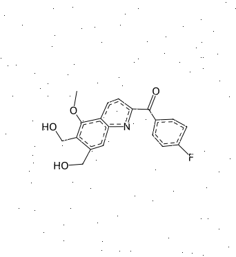 COc1c(CO)c(CO)cc2nc(C(=O)c3ccc(F)cc3)ccc12